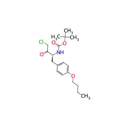 CCCCOc1ccc(C[C@H](NC(=O)OC(C)(C)C)C(=O)CCl)cc1